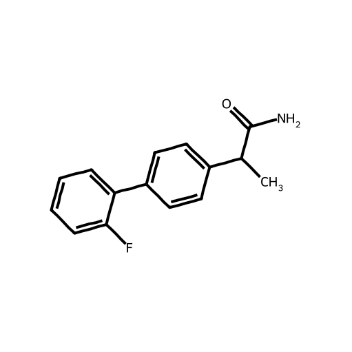 CC(C(N)=O)c1ccc(-c2ccccc2F)cc1